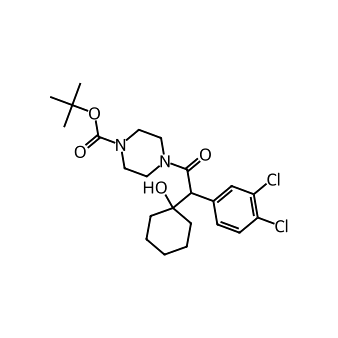 CC(C)(C)OC(=O)N1CCN(C(=O)C(c2ccc(Cl)c(Cl)c2)C2(O)CCCCC2)CC1